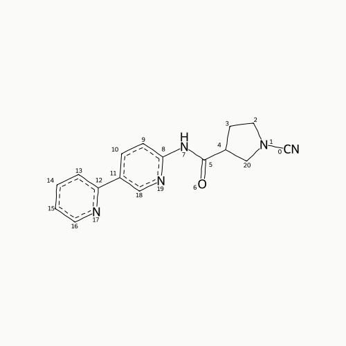 N#CN1CCC(C(=O)Nc2ccc(-c3ccccn3)cn2)C1